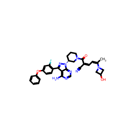 C/C(=C/C=C(/C#N)C(=O)N1CCC[C@@H](n2nc(-c3ccc(Oc4ccccc4)cc3F)c3c(N)ncnc32)C1)N1CC(O)C1